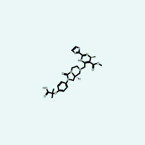 COC(=O)C1=C(CN2CCN3C(=O)N(c4ccc(OC(C)(C)C(=O)O)cc4)C[C@@H]3C2)NC(c2nccs2)=N[C@H]1C